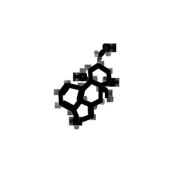 OC[C@@H]1CN[C@@H]2Cc3c[nH]c4cccc(c34)[C@@]2(O)C1